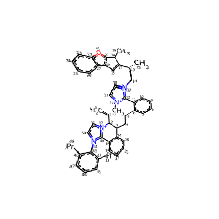 C=CC1C(CCc2ccccc2-c2n(C[C@@H](C)C3=Cc4c(oc5ccccc45)C3C)cc[n+]2C)c2ccccc2-c2n(-c3c(C(C)C)cccc3C(C)C)cc[n+]21